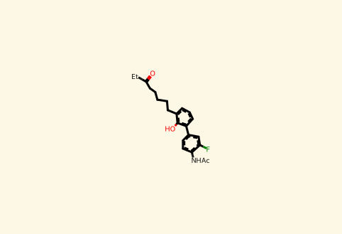 CCC(=O)CCCCCc1cccc(-c2ccc(NC(C)=O)c(F)c2)c1O